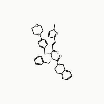 Cn1ccc(C=CC(=O)N(Cc2ccc(N3CCOCC3)cc2)[C@@H](Cc2ccccc2)C(=O)N2CCc3ccccc3C2)n1